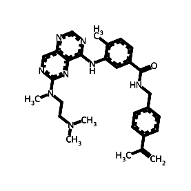 C=C(C)c1ccc(CNC(=O)c2ccc(C)c(Nc3ncnc4cnc(N(C)CCN(C)C)nc34)c2)cc1